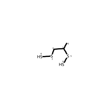 CC(CSS)SS